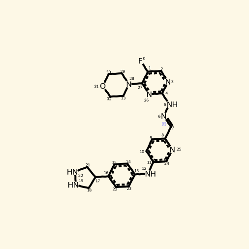 Fc1cnc(N/N=C/c2ccc(Nc3ccc(C4CNNC4)cc3)cn2)nc1N1CCOCC1